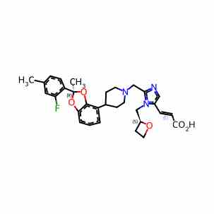 Cc1ccc([C@]2(C)Oc3cccc(C4CCN(Cc5ncc(/C=C/C(=O)O)n5C[C@@H]5CCO5)CC4)c3O2)c(F)c1